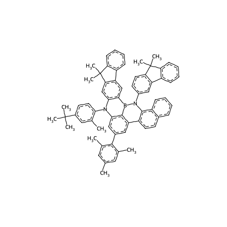 Cc1cc(C)c(-c2cc3c4c(c2)N(c2ccc(C(C)(C)C)cc2C)c2cc5c(cc2B4N(c2ccc4c(c2)-c2ccccc2C4(C)C)c2c-3ccc3ccccc23)-c2ccccc2C5(C)C)c(C)c1